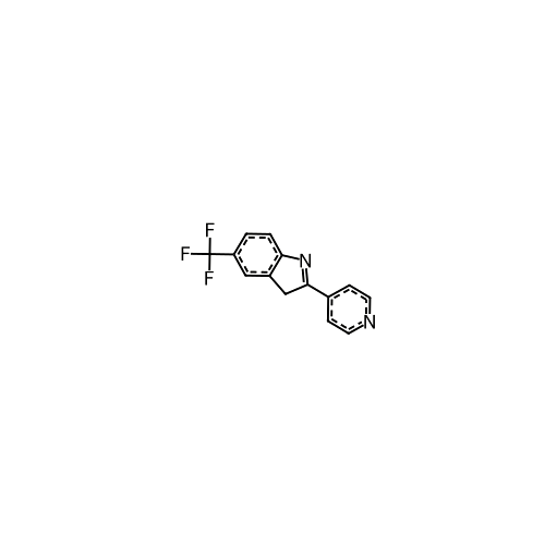 FC(F)(F)c1ccc2c(c1)CC(c1ccncc1)=N2